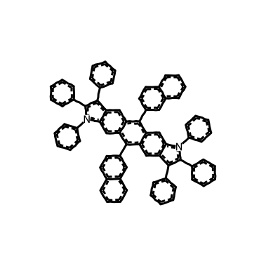 c1ccc(-c2c(-c3ccccc3)n(-c3ccccc3)c3cc4c(-c5ccc6ccccc6c5)c5cc6c(-c7ccccc7)c(-c7ccccc7)n(-c7ccccc7)c6cc5c(-c5ccc6ccccc6c5)c4cc23)cc1